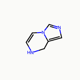 C1=Cn2cncc2CN1